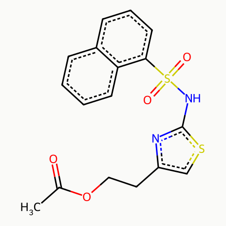 CC(=O)OCCc1csc(NS(=O)(=O)c2cccc3ccccc23)n1